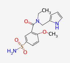 CCN(Cc1ccc[nH]1)C(=O)c1cc(S(N)(=O)=O)ccc1OC